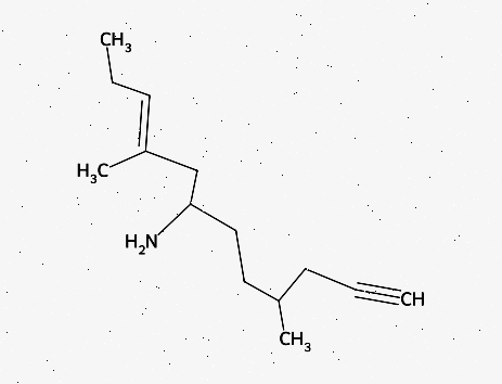 C#CCC(C)CCC(N)C/C(C)=C/CC